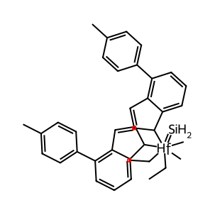 C[CH2][Hf]([CH3])([CH3])(=[SiH2])([CH2]C)([CH]1C=Cc2c(-c3ccc(C)cc3)cccc21)[CH]1C=Cc2c(-c3ccc(C)cc3)cccc21